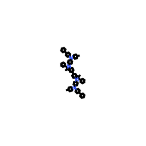 Cc1ccc(N(c2ccc(-c3ccccc3)cc2)c2ccc(-n3c(-c4ccccc4)c(C)c4cc(-c5ccc6c(c5)c(C)c(-c5ccccc5)n6-c5ccc(N(c6ccc(C)cc6)c6ccc(-c7ccccc7)cc6)cc5)ccc43)cc2)cc1